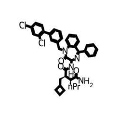 CCC[C@H](C(N)=O)[C@@H](CC1CCC1)C(=O)NC1N=C(c2ccccc2)c2ccccc2N(Cc2cccc(-c3ccc(Cl)cc3Cl)c2)C1=O